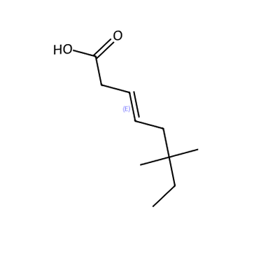 CCC(C)(C)C/C=C/CC(=O)O